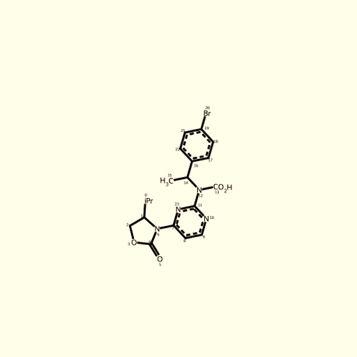 CC(C)C1COC(=O)N1c1ccnc(N(C(=O)O)C(C)c2ccc(Br)cc2)n1